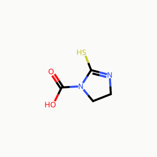 O=C(O)N1CCN=C1S